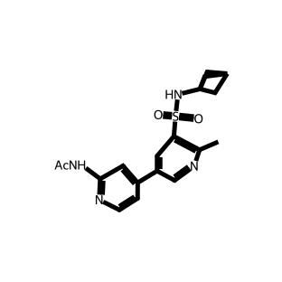 CC(=O)Nc1cc(-c2cnc(C)c(S(=O)(=O)NC34CC(C3)C4)c2)ccn1